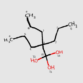 CCCC(CCC)(CCC)C(O)(O)O